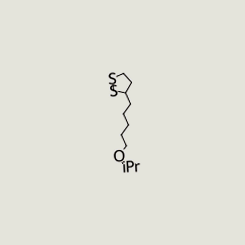 CC(C)OCCCCCC1CCSS1